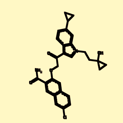 NC(=O)c1cc2cc(Cl)ccc2cc1OCC(=O)c1cn(CCC2(O)CC2)c2cc(C3CC3)ccc12